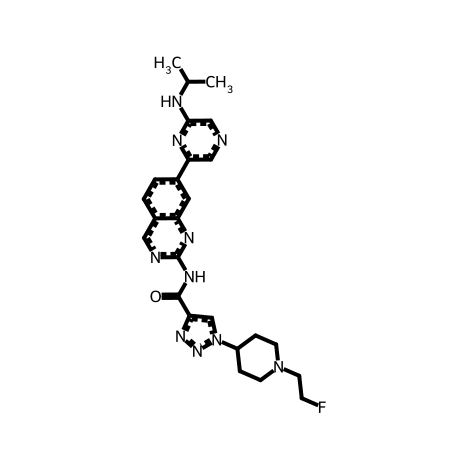 CC(C)Nc1cncc(-c2ccc3cnc(NC(=O)c4cn(C5CCN(CCF)CC5)nn4)nc3c2)n1